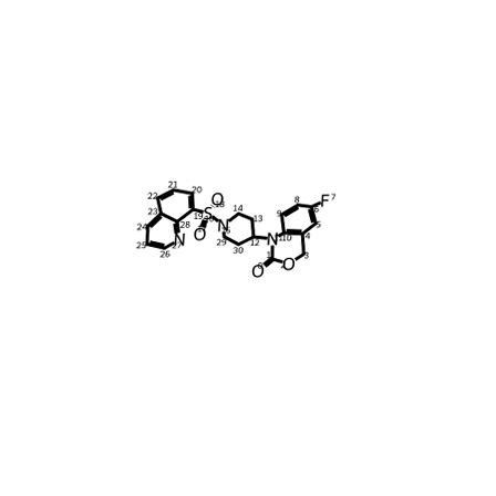 O=C1OCc2cc(F)ccc2N1C1CCN(S(=O)(=O)c2cccc3cccnc23)CC1